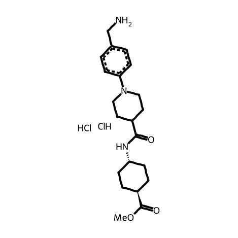 COC(=O)[C@H]1CC[C@H](NC(=O)C2CCN(c3ccc(CN)cc3)CC2)CC1.Cl.Cl